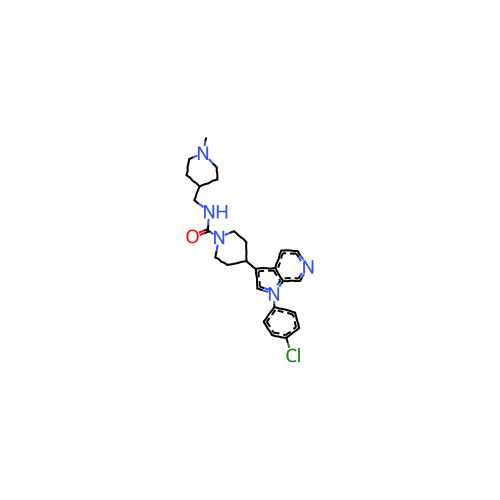 CN1CCC(CNC(=O)N2CCC(c3cn(-c4ccc(Cl)cc4)c4cnccc34)CC2)CC1